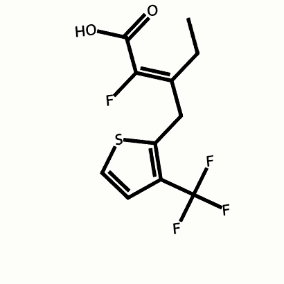 CCC(Cc1sccc1C(F)(F)F)=C(F)C(=O)O